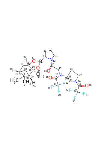 CC1(C)[C@@H]2C[C@H]3OB(C4CCCN4C(=O)CN(C(=O)C(F)(F)F)[C@@H]4CCN(C(=O)C(F)(F)F)C4)O[C@@]3(C)[C@H]1C2